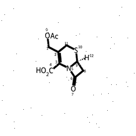 CC(=O)OCC1=C(C(=O)O)N2C(=O)C[C@@H]2SC1